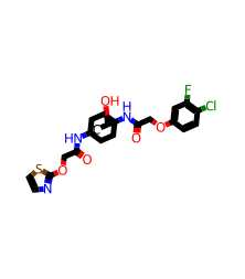 O=C(COc1nccs1)NC12CCC(NC(=O)COc3ccc(Cl)c(F)c3)(CC1)C(O)C2